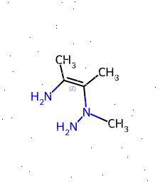 C/C(N)=C(\C)N(C)N